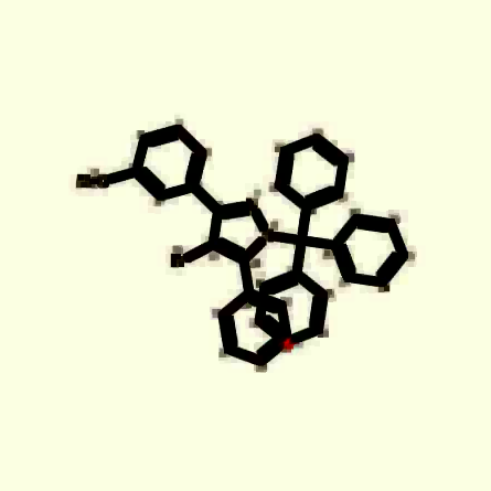 COc1cccc(-c2nn(C(c3ccccc3)(c3ccccc3)c3ccccc3)c(-c3ccccc3)c2Br)c1